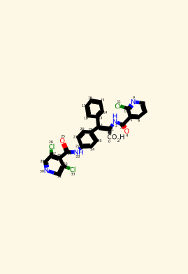 O=C(O)C(NC(=O)c1cccnc1Cl)=C(c1ccccc1)c1ccc(NC(=O)c2c(Cl)cncc2Cl)cc1